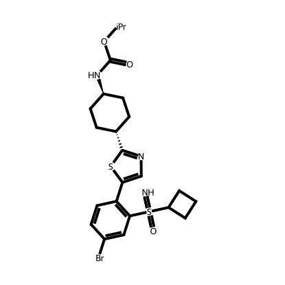 CC(C)OC(=O)N[C@H]1CC[C@H](c2ncc(-c3ccc(Br)cc3S(=N)(=O)C3CCC3)s2)CC1